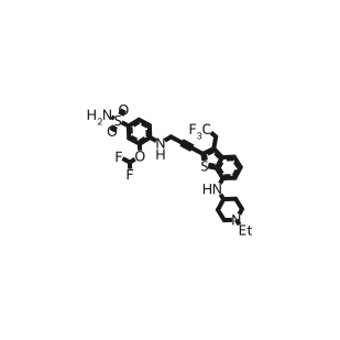 CCN1CCC(Nc2cccc3c(CC(F)(F)F)c(C#CCNc4ccc(S(N)(=O)=O)cc4OC(F)F)sc23)CC1